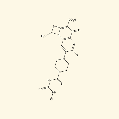 CC1Sc2c(C(=O)O)c(=O)c3cc(F)c(N4CCN(C(=O)NC(=N)NCl)CC4)cc3n21